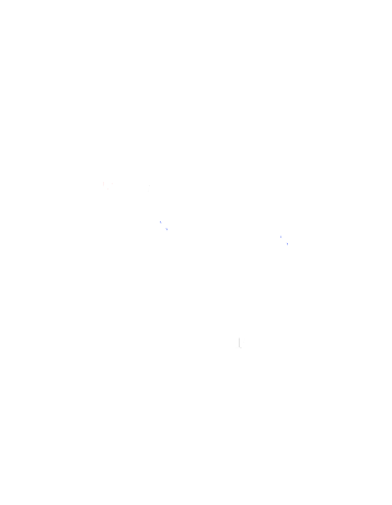 CC(C)(C)Cc1cc2[nH]c(=O)ccc2cn1